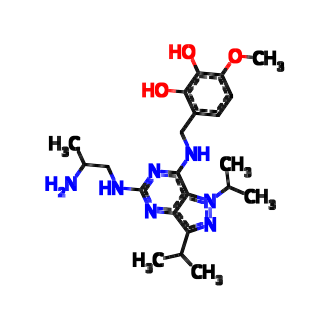 COc1ccc(CNc2nc(NCC(C)N)nc3c(C(C)C)nn(C(C)C)c23)c(O)c1O